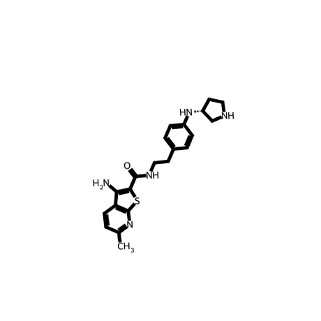 Cc1ccc2c(N)c(C(=O)NCCc3ccc(N[C@@H]4CCNC4)cc3)sc2n1